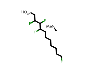 CNC.O=S(=O)(O)CC(F)C(F)C(F)CCCCCCCF